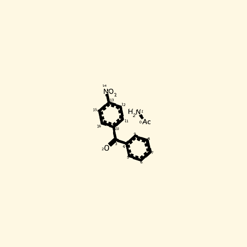 CC(N)=O.O=C(c1ccccc1)c1ccc([N+](=O)[O-])cc1